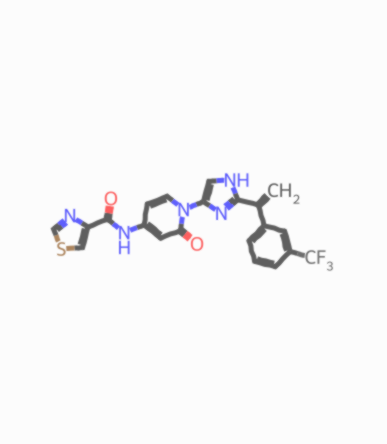 C=C(c1cccc(C(F)(F)F)c1)c1nc(-n2ccc(NC(=O)c3cscn3)cc2=O)c[nH]1